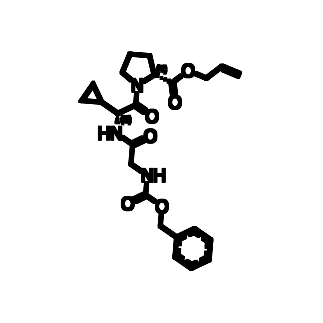 C=CCOC(=O)[C@H]1CCCN1C(=O)[C@H](NC(=O)CNC(=O)OCc1ccccc1)C1CC1